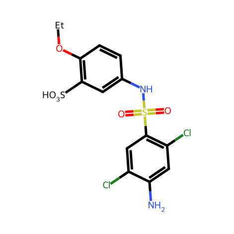 CCOc1ccc(NS(=O)(=O)c2cc(Cl)c(N)cc2Cl)cc1S(=O)(=O)O